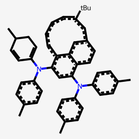 Cc1ccc(N(C2=CCC(C)C=C2)c2cc(N(c3ccc(C)cc3)c3ccc(C)cc3)c3ccc4cc(C(C)(C)C)ccccc2c3c4)cc1